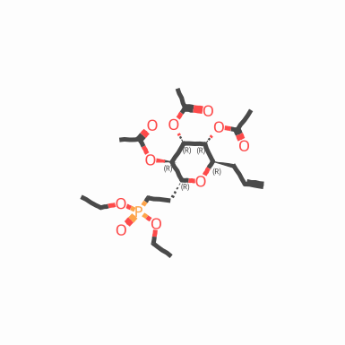 C=CC[C@H]1O[C@H](CCP(=O)(OCC)OCC)[C@@H](OC(C)=O)[C@H](OC(C)=O)[C@@H]1OC(C)=O